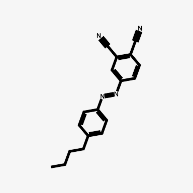 CCCCc1ccc(/N=N/c2ccc(C#N)c(C#N)c2)cc1